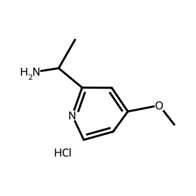 COc1ccnc(C(C)N)c1.Cl